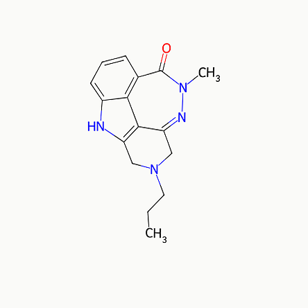 CCCN1CC2=NN(C)C(=O)c3cccc4[nH]c(c2c34)C1